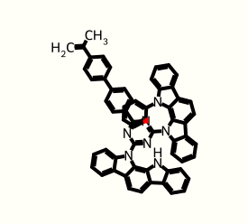 C=C(C)c1ccc(-c2ccc(-c3nc(-n4c5ccccc5c5ccc6c7ccccc7[nH]c6c54)nc(-n4c5ccccc5c5ccc6c7ccccc7n(-c7ccccc7)c6c54)n3)cc2)cc1